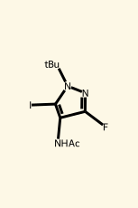 CC(=O)Nc1c(F)nn(C(C)(C)C)c1I